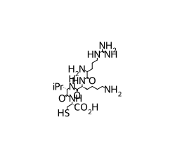 CC(C)[C@H](NC(=O)[C@H](CCCCN)NC(=O)[C@@H](N)CCCNC(=N)N)C(=O)N[C@@H](CS)C(=O)O